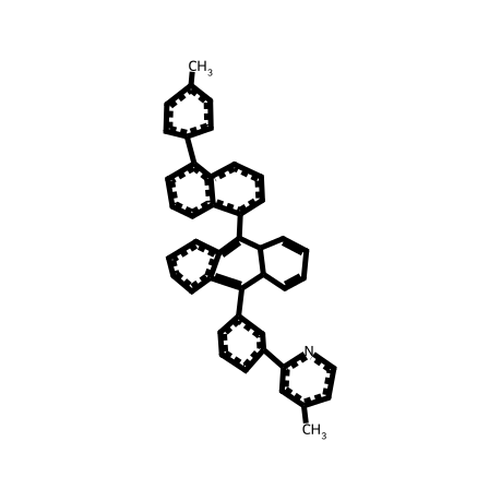 Cc1ccc(-c2cccc3c(C4=c5ccccc5=C(c5cccc(-c6cc(C)ccn6)c5)C5C=CC=CC45)cccc23)cc1